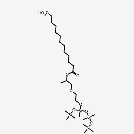 CC(COCCO[Si](C)(O[Si](C)(C)C)O[Si](C)(C)O[Si](C)(C)C)OC(=O)CCCCCCCCCCCC(=O)O